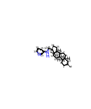 C[C@H]1CC[C@H]2[C@H](CC[C@@H]3[C@@H]2CC[C@]2(C)[C@@H]([C@@H](C)Nc4cccnc4)CC[C@@H]32)C1